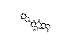 COc1nc(N2Cc3ccccc3C2)nc(Nc2ccc3[nH]ncc3c2)c1OC